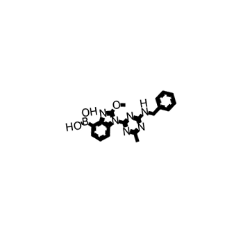 COc1nc2c(B(O)O)cccc2n1-c1nc(C)nc(NCc2ccccc2)n1